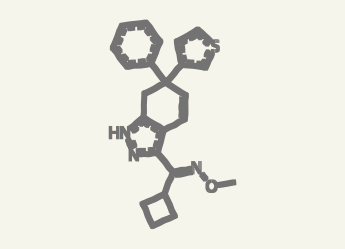 CON=C(c1n[nH]c2c1C=CC(c1ccccc1)(c1ccsc1)C2)C1CCC1